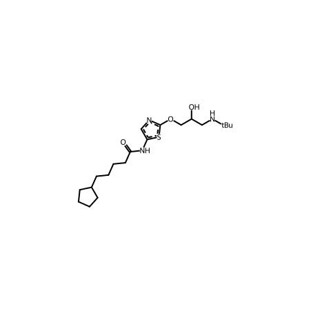 CC(C)(C)NCC(O)COc1ncc(NC(=O)CCCCC2CCCC2)s1